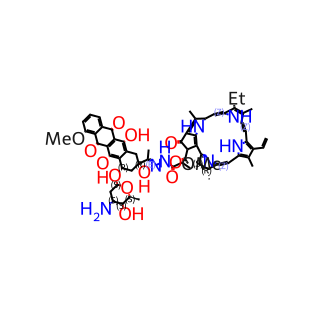 C=Cc1c2[nH]c(c1C)/C=C1\N=C(C3=C4NC(/C=c5\[nH]/c(c(C)c5CC)=C\2)C(C)=C4C(=O)C3C(=O)OC)[C@@H](CCC(=O)N/N=C(\C)[C@@]2(O)Cc3c(O)c4c(c(O)c3[C@H](O[C@@H]3C[C@H](N)[C@H](O)[C@H](C)O3)C2)C(=O)c2c(OC)cccc2C4=O)[C@H]1C